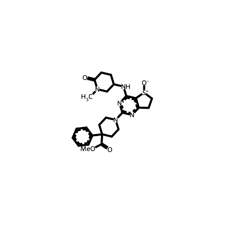 COC(=O)C1(c2ccccc2)CCN(c2nc3c(c(NC4CCC(=O)N(C)C4)n2)[S+]([O-])CC3)CC1